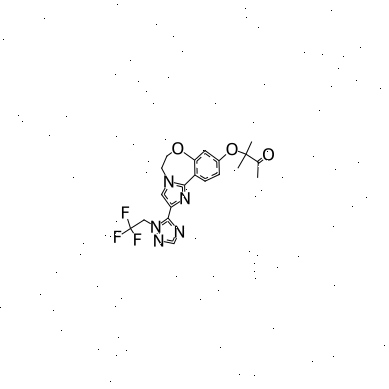 CC(=O)C(C)(C)Oc1ccc2c(c1)OCCn1cc(-c3ncnn3CC(F)(F)F)nc1-2